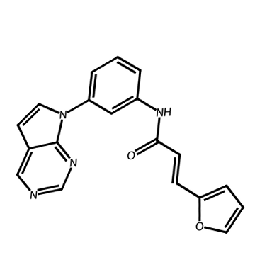 O=C(/C=C/c1ccco1)Nc1cccc(-n2ccc3cncnc32)c1